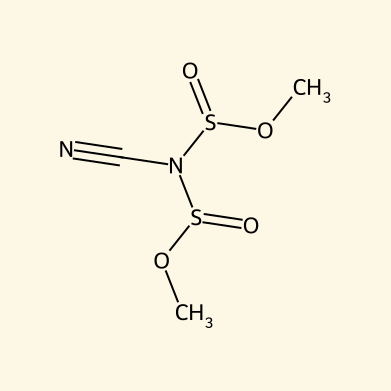 COS(=O)N(C#N)S(=O)OC